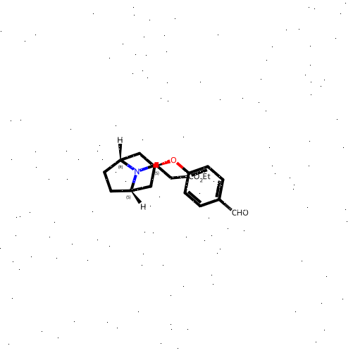 CCOC(=O)CCN1[C@@H]2CC[C@H]1C[C@H](Oc1ccc(C=O)cc1)C2